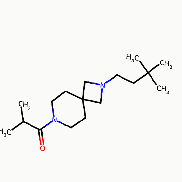 CC(C)C(=O)N1CCC2(CC1)CN(CCC(C)(C)C)C2